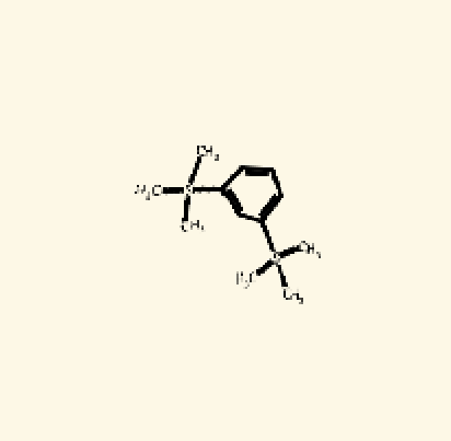 CS(C)(C)c1cccc(S(C)(C)C)c1